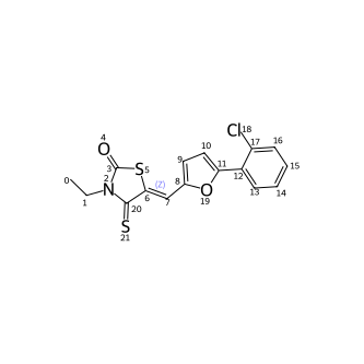 CCN1C(=O)S/C(=C\c2ccc(-c3ccccc3Cl)o2)C1=S